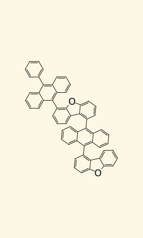 c1ccc(-c2c3ccccc3c(-c3cccc4c3oc3cccc(-c5c6ccccc6c(-c6cccc7oc8ccccc8c67)c6ccccc56)c34)c3ccccc23)cc1